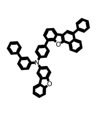 c1ccc(-c2cccc(N(c3ccc(-c4cccc5c4oc4c6ccccc6c(-c6ccccc6)cc54)cc3)c3ccc4oc5ccccc5c4c3)c2)cc1